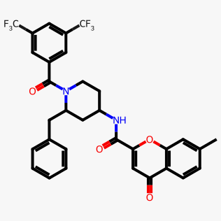 Cc1ccc2c(=O)cc(C(=O)NC3CCN(C(=O)c4cc(C(F)(F)F)cc(C(F)(F)F)c4)C(Cc4ccccc4)C3)oc2c1